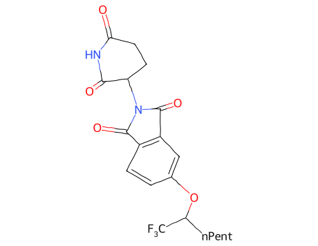 CCCCCC(Oc1ccc2c(c1)C(=O)N(C1CCC(=O)NC1=O)C2=O)C(F)(F)F